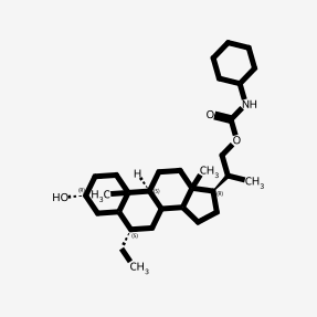 CC[C@H]1CC2C3CC[C@H](C(C)COC(=O)NC4CCCCC4)C3(C)CC[C@@H]2C2(C)CC[C@@H](O)CC12